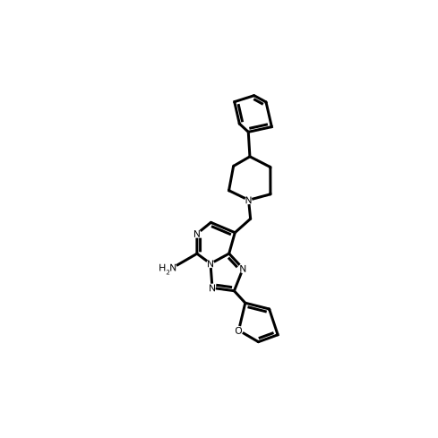 Nc1ncc(CN2CCC(c3ccccc3)CC2)c2nc(-c3ccco3)nn12